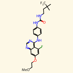 COCCOc1cc(F)c2c(Nc3ccc(NC(=O)NCCC(C)(C)C(F)(F)F)cc3)ncnc2c1